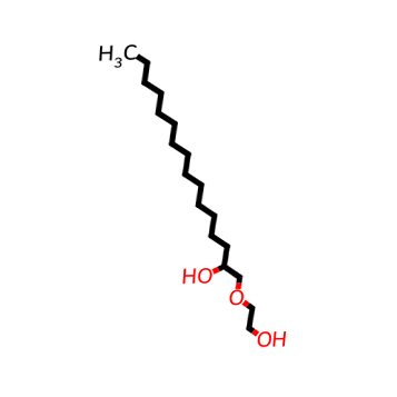 CCCCCCCCCCCCCCC(O)COCCO